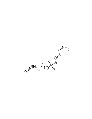 CC(C)(COCCN)OCCN=[N+]=[N-]